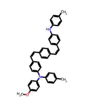 COc1ccc(N(c2ccc(C)cc2)c2ccc(/C=C\c3ccc(/C=C\c4ccc(Nc5ccc(C)cc5)cc4)cc3)cc2)cc1